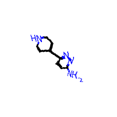 Nc1ccc(C2CCNCC2)nn1